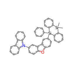 C[Si]1(C)c2ccccc2[Si](c2ccccc2)(c2ccc3oc4ccc(-n5c6ccccc6c6ccccc65)cc4c3c2)c2ccccc21